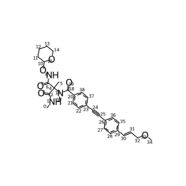 CNC(=O)C(C)(C(=O)NOC1CCCCO1)N(C)C(=O)c1ccc(C#Cc2ccc(/C=C/COC)cc2)cc1